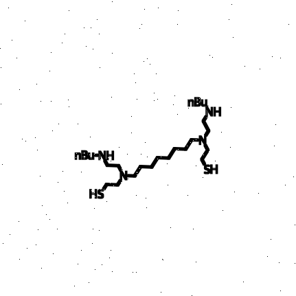 CCCCNCCN(CCS)CCCCCCCCN(CCS)CCNCCCC